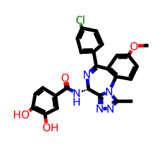 COc1ccc2c(c1)C(c1ccc(Cl)cc1)=N[C@@H](NC(=O)c1ccc(O)c(O)c1)c1nnc(C)n1-2